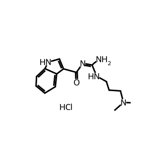 CN(C)CCCNC(N)=NC(=O)c1c[nH]c2ccccc12.Cl